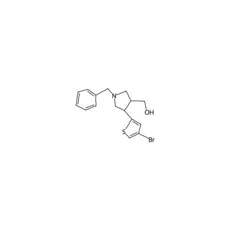 OCC1CN(Cc2ccccc2)CC1c1cc(Br)cs1